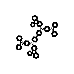 C1=CC2=C(CC1)C1(CCCC1)c1cc(N(c3ccc(-c4ccc(N(c5ccc(N(c6ccccc6)c6ccccc6)cc5)c5ccc6c(c5)C5(CCCC5)c5ccccc5-6)cc4)cc3)c3ccc(N(c4ccccc4)c4ccccc4)cc3)ccc12